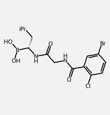 CC(C)C[C@H](NC(=O)CNC(=O)c1cc(Br)ccc1Cl)B(O)O